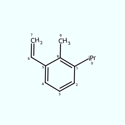 [CH2]C(C)c1cccc(C=C)c1C